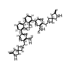 C=C1CC2(CN1)CN(Cc1ncc(-c3cccc(-c4cccc(-c5cnc(CN6CC7(CNC(=C)C7)C6)c(NC)n5)c4Cl)c3Cl)nc1NC)C2